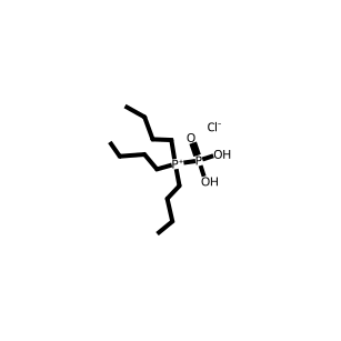 CCCC[P+](CCCC)(CCCC)P(=O)(O)O.[Cl-]